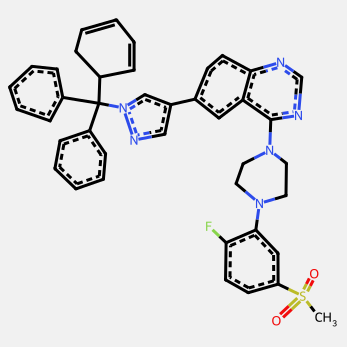 CS(=O)(=O)c1ccc(F)c(N2CCN(c3ncnc4ccc(-c5cnn(C(c6ccccc6)(c6ccccc6)C6C=CC=CC6)c5)cc34)CC2)c1